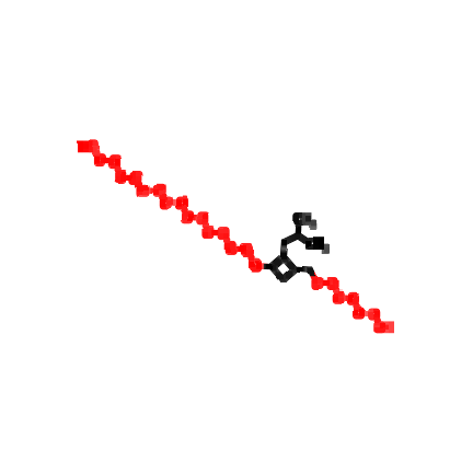 CC(C)CC1C(COOOOOOO)CC1OOOOOOOOOOOOOOOO